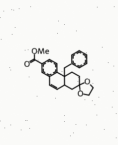 COC(=O)c1ccc2c(c1)C=CC1CC3(CCC21Cc1ccccc1)OCCO3